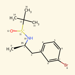 C[C@H](Cc1cccc(Br)c1)N[S+]([O-])C(C)(C)C